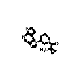 CC1(C(=O)N2CCCC(n3cnc4cnc5[nH]ccc5c43)C2)CC1